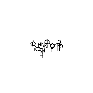 CS(=O)(=O)NCc1cc(F)cc(-c2nccc3[nH]c(-c4n[nH]c5cnc(-c6cncnc6)c(F)c45)nc23)c1